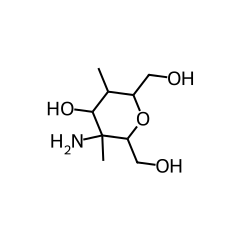 CC1C(CO)OC(CO)C(C)(N)C1O